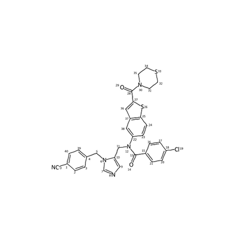 N#Cc1ccc(Cn2cncc2CN(C(=O)c2ccc(Cl)cc2)c2ccc3sc(C(=O)N4CCSCC4)cc3c2)cc1